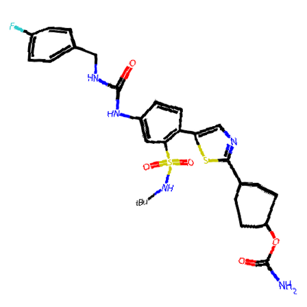 CC(C)(C)NS(=O)(=O)c1cc(NC(=O)NCc2ccc(F)cc2)ccc1-c1cnc(C2CCC(OC(N)=O)CC2)s1